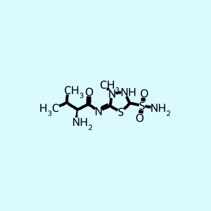 CC(C)[C@H](N)C(=O)N=C1SC(S(N)(=O)=O)NN1C